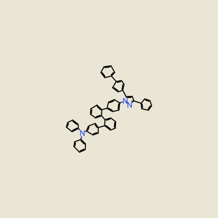 c1ccc(-c2ccc(-c3cc(-c4ccccc4)nn3-c3ccc(-c4ccccc4-c4ccccc4-c4ccc(N(c5ccccc5)c5ccccc5)cc4)cc3)cc2)cc1